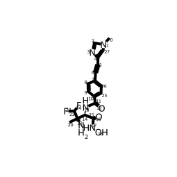 Cn1cnc(C#Cc2ccc(C(=O)N[C@H](C(=O)NO)C(C)(N)C(F)F)cc2)c1